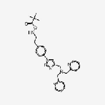 CC(C)(C)C(=O)ONCCc1ccc(-n2cc(CN(Cc3ccccn3)Cc3ccccn3)nn2)cc1